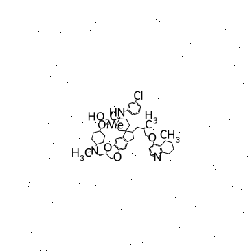 COC1CCC(N(C)C[C@@H]2COc3cc4c(cc3O2)C2(CCC(Nc3cccc(Cl)c3)(C(=O)O)CC2)[C@@H](C[C@@H](C)COc2ccnc3c2[C@H](C)CCC3)C4)CC1